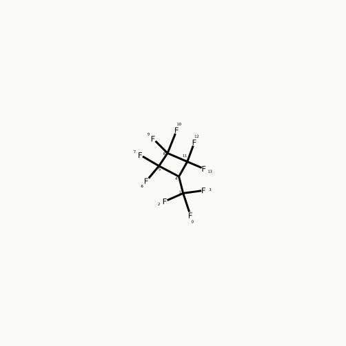 FC(F)(F)C1C(F)(F)C(F)(F)C1(F)F